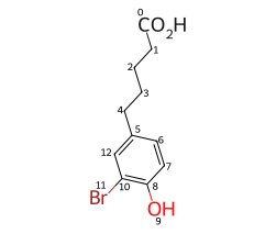 O=C(O)CCCCc1ccc(O)c(Br)c1